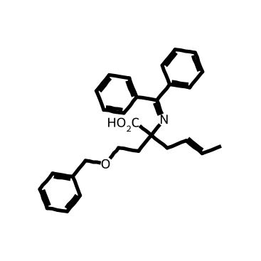 CC=CCC(CCOCc1ccccc1)(N=C(c1ccccc1)c1ccccc1)C(=O)O